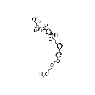 CCCCOCCOc1ccc(-c2cccc(/C=C/C(=O)Nc3ccc(S(=O)(=O)Cc4cncn4CCC)cc3)c2)cc1